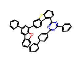 C1=CC(c2ccccc2)CC=C1c1nc(-c2ccccc2)nc(-c2cccc3sc4cc(-c5cc(-c6ccccc6)cc6c5oc5ccccc56)ccc4c23)n1